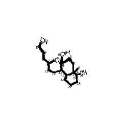 CC12CCC3(O)OC(CCCC#N)CCC3C1CCC[C@@H]2O